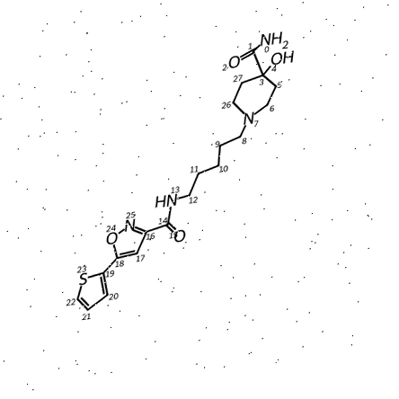 NC(=O)C1(O)CCN(CCCCCNC(=O)c2cc(-c3cccs3)on2)CC1